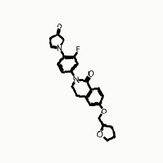 O=C1CCN(c2ccc(N3CCc4cc(OCC5CCCO5)ccc4C3=O)cc2F)C1